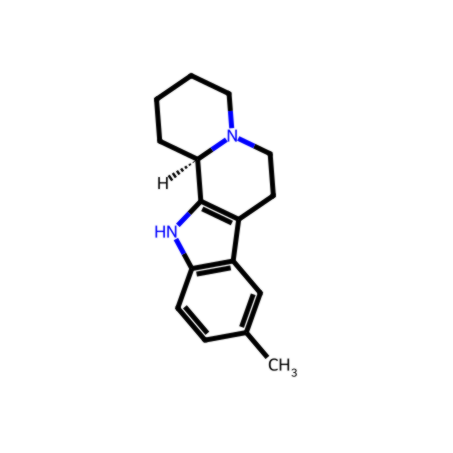 Cc1ccc2[nH]c3c(c2c1)CCN1CCCC[C@H]31